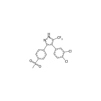 CS(=O)(=O)c1ccc(-c2n[nH]c(C(F)(F)F)c2-c2ccc(Cl)c(Cl)c2)cc1